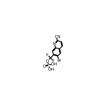 N#Cc1ccc2cc(Br)c(C(F)(F)OP(=O)(O)O)cc2n1